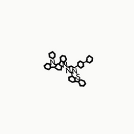 c1ccc(-c2ccc(-c3cc(-n4c5ccccc5c5c4ccc4c6ccccc6n(-c6ccccc6)c45)nc(-c4cccc5c4sc4ccccc45)n3)cc2)cc1